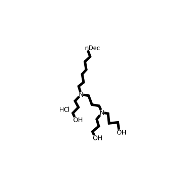 CCCCCCCCCCCCCCCCN(CCCO)CCCN(CCCO)CCCO.Cl